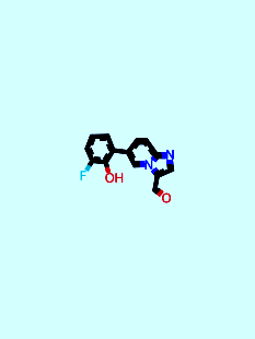 O=Cc1cnc2ccc(-c3cccc(F)c3O)cn12